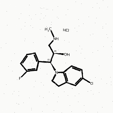 CNC[C@@H](O)[C@H](c1cccc(F)c1)N1CCc2cc(Cl)ccc21.Cl